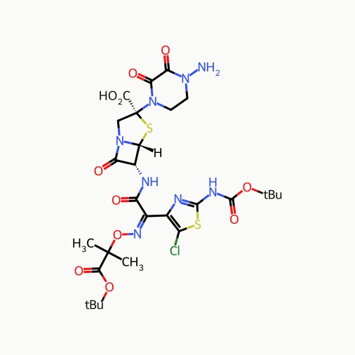 CC(C)(C)OC(=O)Nc1nc(/C(=N/OC(C)(C)C(=O)OC(C)(C)C)C(=O)N[C@@H]2C(=O)N3C[C@@](C(=O)O)(N4CCN(N)C(=O)C4=O)S[C@H]23)c(Cl)s1